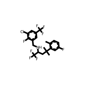 Cc1ccc(F)cc1C(C)(C)CC(NCc1cc(C(F)(F)F)cc(Cl)c1F)C(F)(F)F